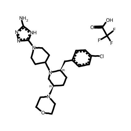 Nc1nnc(N2CCC(N3C[C@H](N4CCOCC4)CC[C@@H]3Cc3ccc(Cl)cc3)CC2)[nH]1.O=C(O)C(F)(F)F